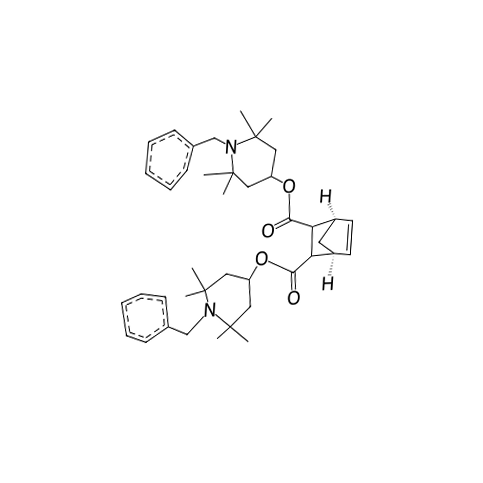 CC1(C)CC(OC(=O)C2C(C(=O)OC3CC(C)(C)N(Cc4ccccc4)C(C)(C)C3)[C@H]3C=C[C@@H]2C3)CC(C)(C)N1Cc1ccccc1